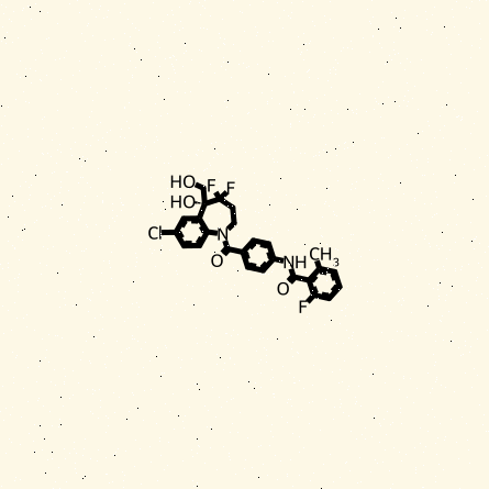 Cc1cccc(F)c1C(=O)Nc1ccc(C(=O)N2CCC(F)(F)[C@](O)(CO)c3cc(Cl)ccc32)cc1